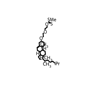 CSC(=S)OCCOCCO[C@H]1CC[C@@]2(C)C(=CC[C@H]3[C@@H]4CC[C@H]([C@H](C)CCCC(C)C)[C@@]4(C)CC[C@@H]32)C1